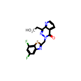 O=C(O)Cc1nn(Cc2nc3cc(F)cc(F)c3s2)c(=O)c2cccnc12